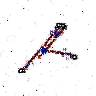 COC(=O)CCNc1nc(N(CCOCCOCCOCCOCCC(=O)NCCNC(=O)OC[C@H]2[C@@H]3CCC#CCC[C@@H]32)CCOCCOCCOCCOCCC(=O)NCCNC(=O)OC[C@H]2[C@@H]3CCC#CCC[C@@H]32)nc(N(CCOCCOCCOCCOCCC(=O)NCCNC(=O)OC[C@H]2[C@@H]3CCC#CCC[C@@H]32)CCOCCOCCOCCOCCC(=O)NCCNC(=O)OC[C@H]2[C@@H]3CCC#CCC[C@@H]32)n1